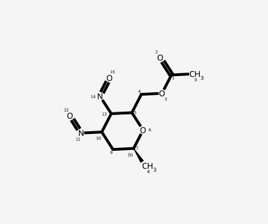 CC(=O)OCC1O[C@@H](C)CC(N=O)C1N=O